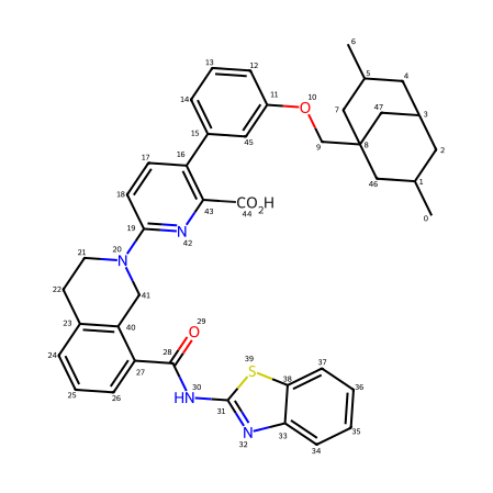 CC1CC2CC(C)CC(COc3cccc(-c4ccc(N5CCc6cccc(C(=O)Nc7nc8ccccc8s7)c6C5)nc4C(=O)O)c3)(C1)C2